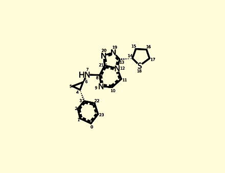 c1ccc([C@@H]2C[C@H]2Nc2nccn3c([C@@H]4CCCS4)nnc23)cc1